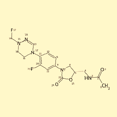 CC(=O)NC[C@H]1CN(c2ccc(N3C=NN(CF)CC3)c(F)c2)C(=O)O1